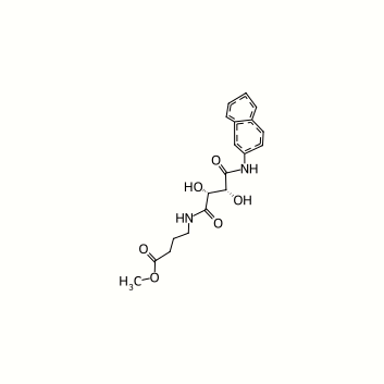 COC(=O)CCCNC(=O)[C@H](O)[C@@H](O)C(=O)Nc1ccc2ccccc2c1